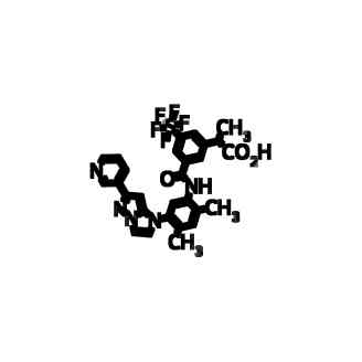 Cc1cc(C)c(-n2ccn3nc(-c4cccnc4)cc23)cc1NC(=O)c1cc(C(C)C(=O)O)cc(S(F)(F)(F)(F)F)c1